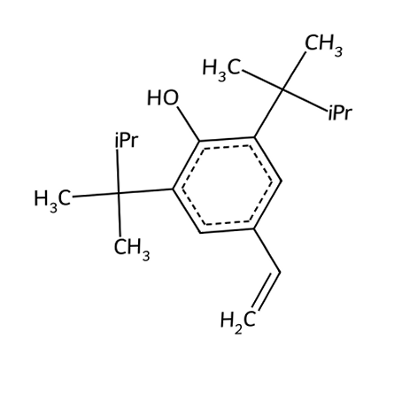 C=Cc1cc(C(C)(C)C(C)C)c(O)c(C(C)(C)C(C)C)c1